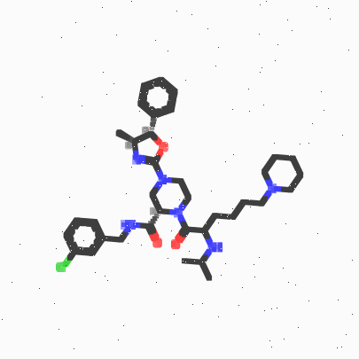 CC(C)NC(CCCCN1CCCCC1)C(=O)N1CCN(C2=N[C@@H](C)[C@H](c3ccccc3)O2)C[C@H]1C(=O)NCc1cccc(Cl)c1